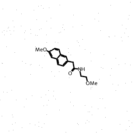 COCCNC(=O)Cc1ccc2cc(OC)ccc2c1